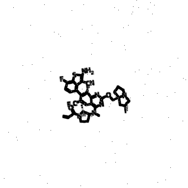 C=CC(=O)N1CC[C@@H](N(C)c2nc(OC[C@@]34CCCN3C[C@H](F)C4)nc3c(F)c(-c4ccc(F)c5sc(N)c(C#N)c45)c(C(F)(F)F)cc23)[C@H]1C